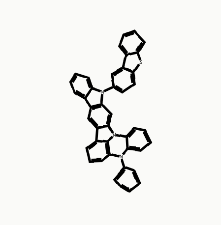 c1ccc(N2c3ccccc3-n3c4cc5c(cc4c4cccc2c43)c2ccccc2n5-c2ccc3sc4ccccc4c3c2)cc1